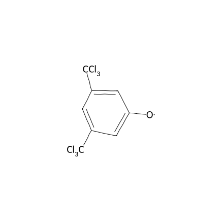 [O]c1cc(C(Cl)(Cl)Cl)cc(C(Cl)(Cl)Cl)c1